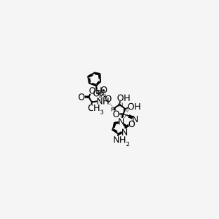 CC(N[P@](=O)(OC[C@H]1O[C@@](C#N)(n2ccc(N)nc2=O)[C@H](O)[C@@H]1O)Oc1ccccc1)C(=O)O